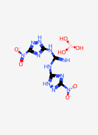 N=C(Nc1nc([N+](=O)[O-])n[nH]1)Nc1nc([N+](=O)[O-])n[nH]1.OB(O)O